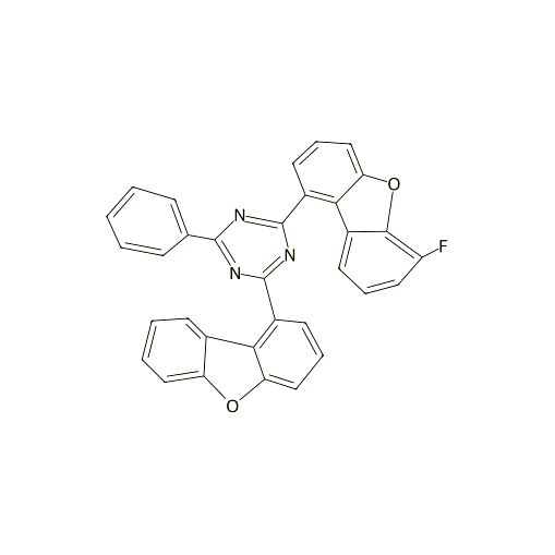 Fc1cccc2c1oc1cccc(-c3nc(-c4ccccc4)nc(-c4cccc5oc6ccccc6c45)n3)c12